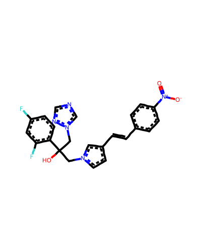 O=[N+]([O-])c1ccc(C=Cc2ccn(CC(O)(Cn3cncn3)c3ccc(F)cc3F)c2)cc1